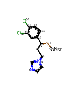 CCCCCCCCCSC(CCn1ccnc1)c1ccc(Cl)c(Cl)c1